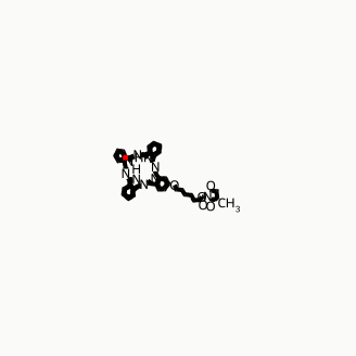 CC1CC(=O)N(OC(=O)CCCCCOc2ccc3c(c2)-c2nc-3nc3[nH]c(nc4nc(nc5[nH]c(n2)c2ccccc52)-c2ccccc2-4)c2ccccc32)C1=O